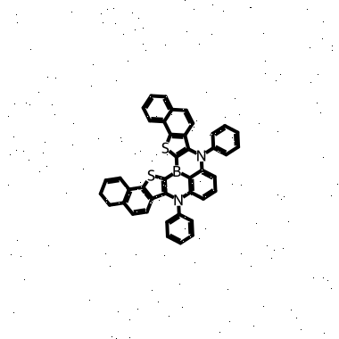 C1=Cc2c(ccc3c4c(sc23)B2c3sc5c(ccc6ccccc65)c3N(c3ccccc3)c3cccc(c32)N4c2ccccc2)CC1